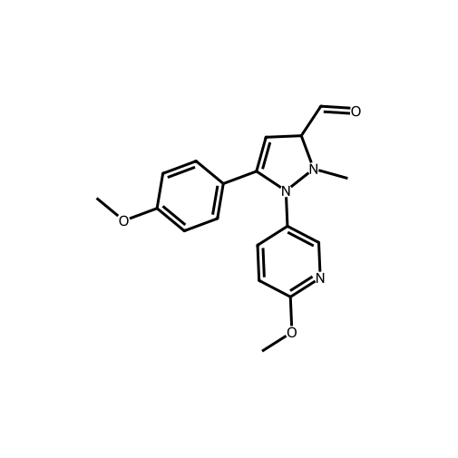 COc1ccc(C2=CC(C=O)N(C)N2c2ccc(OC)nc2)cc1